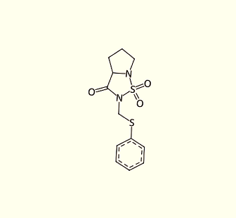 O=C1C2CCCN2S(=O)(=O)N1CSc1ccccc1